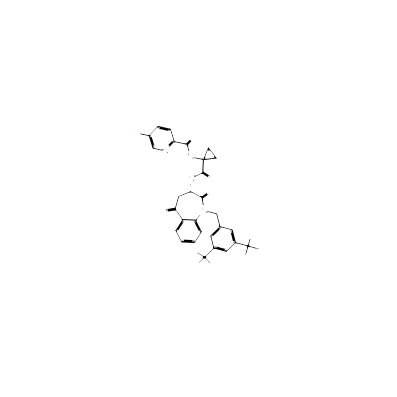 O=C(NC1(C(=O)N[C@@H]2CC(=O)c3ccccc3N(Cc3cc(C(F)(F)F)cc(C(F)(F)F)c3)C2=O)CC1)c1ccc(F)cn1